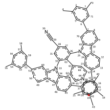 Cc1cc(C)cc(-c2ccc3c4ccc(-c5cc(C)cc(C)c5)cc4n(-c4cc(C#N)cc(-n5c6cc(-c7cc(C)cc(C)c7)ccc6c6ccc(-c7cc(C)cc(C)c7)cc65)c4-c4ccncc4)c3c2)c1